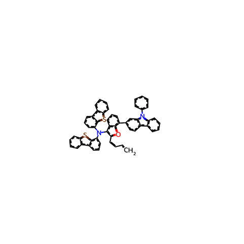 C=C/C=C\c1oc2c(-c3ccc4c5ccccc5n(-c5ccccc5)c4c3)cccc2c1N(c1cccc2c1sc1ccccc12)c1cccc2c1sc1ccccc12